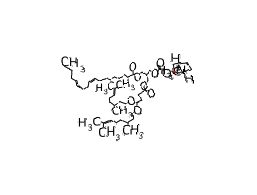 CCCCC/C=C\C/C=C\CCCCCCCC(=O)OCC(COC(=O)CCC(OCCC(C)CCC=C(C)C)OCCC(C)CCC=C(C)C)COC(=O)OC1C[C@H]2CC[C@@H](C1)N2C